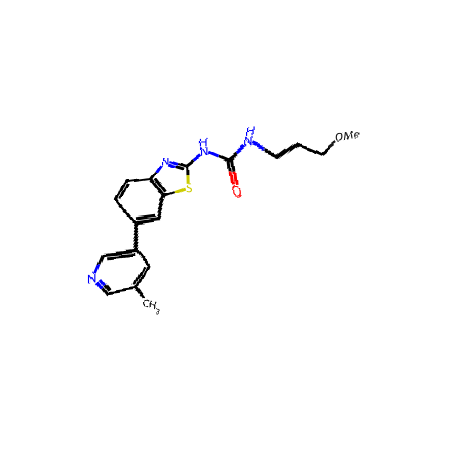 COCCCNC(=O)Nc1nc2ccc(-c3cncc(C)c3)cc2s1